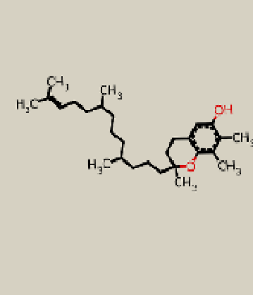 CC(C)=CCCC(C)CCCC(C)CCC[C@]1(C)CCc2cc(O)c(C)c(C)c2O1